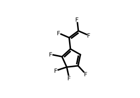 FC1=CC(C(F)=C(F)F)=C(F)C1(F)F